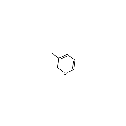 IC1=CC=COC1